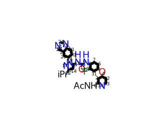 CC(=O)Nc1cc(Oc2ccc(NC(=O)Nc3cc(C(C)C)nn3-c3ccc4ncncc4c3)c(F)c2)ccn1